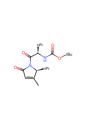 CCC[C@@H](NC(=O)OC(C)(C)C)C(=O)N1C(=O)C=C(C)[C@@H]1CCC